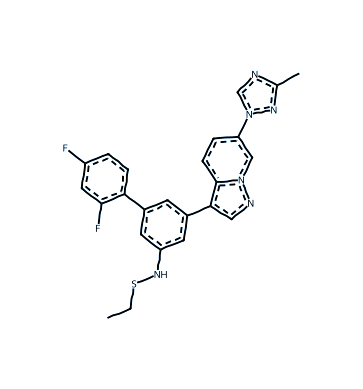 CCSNc1cc(-c2ccc(F)cc2F)cc(-c2cnn3cc(-n4cnc(C)n4)ccc23)c1